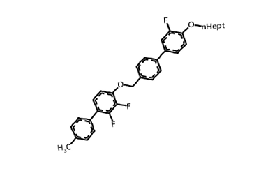 CCCCCCCOc1ccc(-c2ccc(COc3ccc(-c4ccc(C)cc4)c(F)c3F)cc2)cc1F